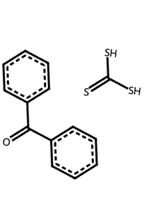 O=C(c1ccccc1)c1ccccc1.S=C(S)S